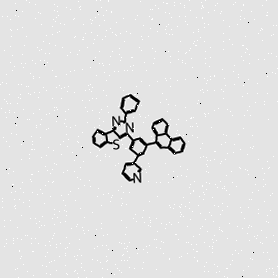 c1ccc(-c2nc(-c3cc(-c4cccnc4)cc(-c4cc5ccccc5c5ccccc45)c3)c3sc4ccccc4c3n2)cc1